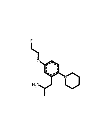 CC(N)Cc1cc(OCCF)ccc1N1CCCCC1